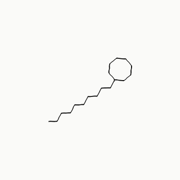 CCCCCCCCCC[C]1CCCCCCC1